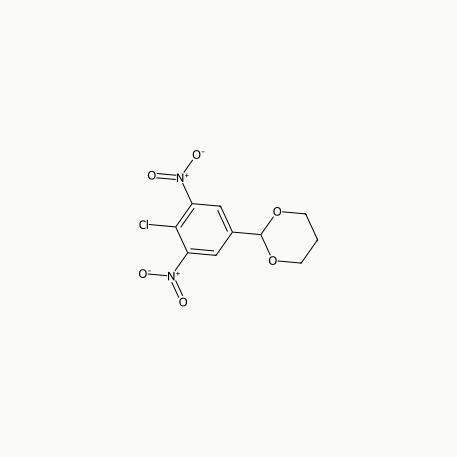 O=[N+]([O-])c1cc(C2OCCCO2)cc([N+](=O)[O-])c1Cl